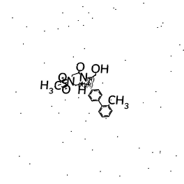 Cc1ccccc1-c1ccc([C@H]2[C@H](CO)N3C(=O)CN(S(C)(=O)=O)C[C@@H]23)cc1